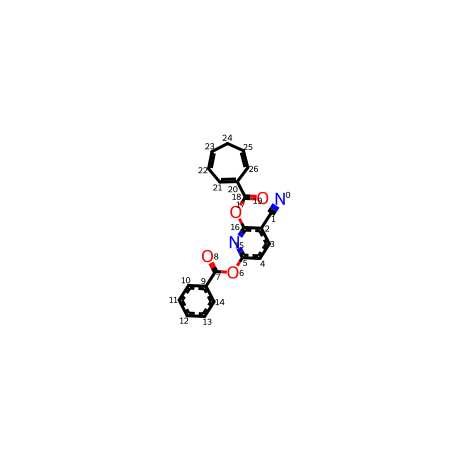 N#Cc1ccc(OC(=O)c2ccccc2)nc1OC(=O)C1=CC=CCC=C1